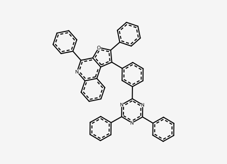 c1ccc(-c2nc(-c3ccccc3)nc(-c3cccc(-c4c(-c5ccccc5)oc5c(-c6ccccc6)nc6ccccc6c45)c3)n2)cc1